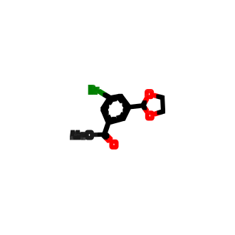 COC(=O)c1cc(Br)cc(C2OCCO2)c1